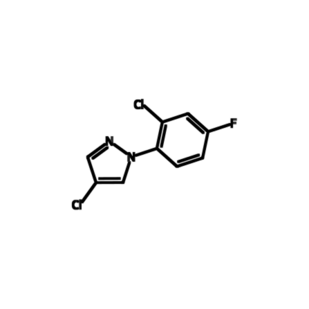 Fc1ccc(-n2cc(Cl)cn2)c(Cl)c1